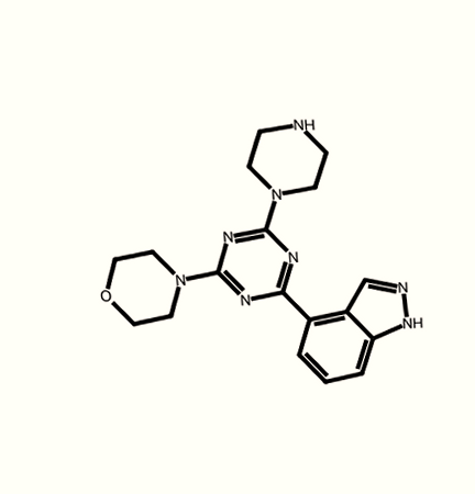 c1cc(-c2nc(N3CCNCC3)nc(N3CCOCC3)n2)c2cn[nH]c2c1